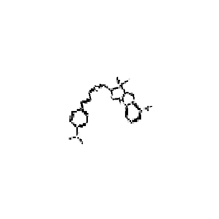 CN(C)c1ccc(/C=C/C=C=CC2ON3c4cccc(Cl)c4CC3C2(C)C)cc1